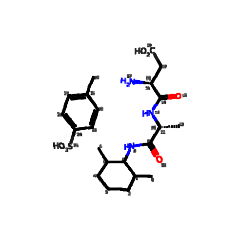 CC1CCCC(C)C1NC(=O)[C@@H](C)NC(=O)[C@@H](N)CC(=O)O.Cc1ccc(S(=O)(=O)O)cc1